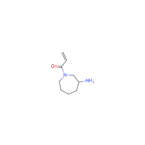 C=CC(=O)N1CCCCC(N)C1